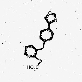 O=C(O)Oc1ncccc1Cc1ccc(-c2cocn2)cc1